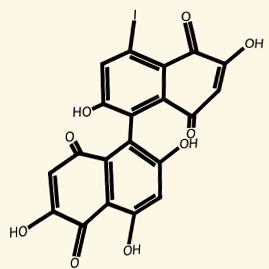 O=C1C(O)=CC(=O)c2c1c(O)cc(O)c2-c1c(O)cc(I)c2c1C(=O)C=C(O)C2=O